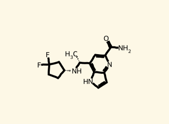 C[C@@H](N[C@@H]1CCC(F)(F)C1)c1cc(C(N)=O)nc2cc[nH]c12